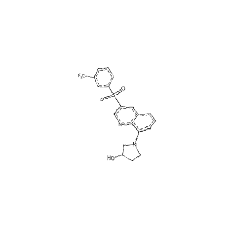 O=S(=O)(c1cccc(C(F)(F)F)c1)c1cnc2c(N3CCC(O)C3)cccc2c1